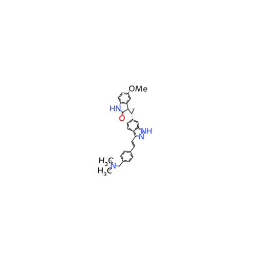 COc1ccc2c(c1)[C@]1(C[C@@H]1c1ccc3c(C=Cc4ccc(CN(C)C)cc4)n[nH]c3c1)C(=O)N2